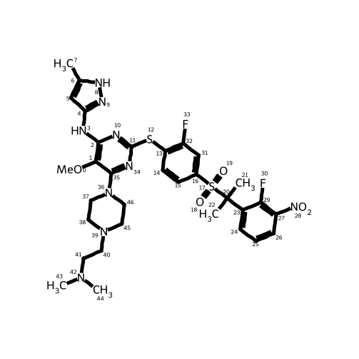 COc1c(Nc2cc(C)[nH]n2)nc(Sc2ccc(S(=O)(=O)C(C)(C)c3cccc([N+](=O)[O-])c3F)cc2F)nc1N1CCN(CCN(C)C)CC1